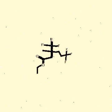 CCOC(=O)CC(C)(CCC(F)(F)F)C(F)(F)F